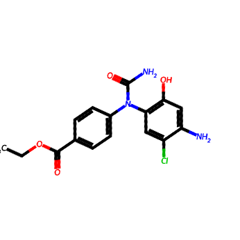 CCOC(=O)c1ccc(N(C(N)=O)c2cc(Cl)c(N)cc2O)cc1